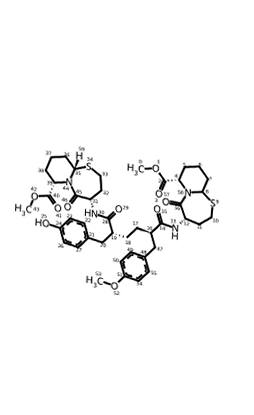 COC(=O)[C@@H]1CCCC2SCC[C@H](NC(=O)[C@H](CC[C@H](Cc3ccc(O)cc3)C(=O)N[C@H]3CCS[C@H]4CCC[C@@H](C(=O)OC)N4C3=O)Cc3ccc(OC)cc3)C(=O)N21